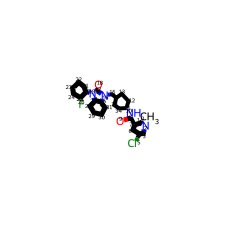 Cc1ncc(Cl)cc1C(=O)NC1CCC(Cn2c(=O)n(-c3ccccc3F)c3ccccc32)CC1